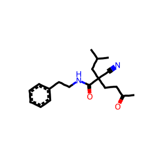 CC(=O)CCC(C#N)(CC(C)C)C(=O)NCCc1ccccc1